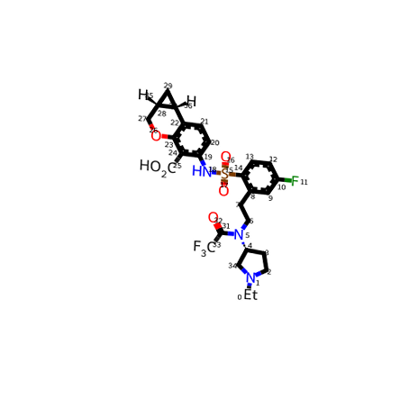 CCN1CC[C@@H](N(CCc2cc(F)ccc2S(=O)(=O)Nc2ccc3c(c2C(=O)O)OC[C@@H]2C[C@H]32)C(=O)C(F)(F)F)C1